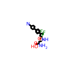 N#CC1CC=C(c2ccc(C(CCS(=N)(=O)CC[C@H](N)C(=O)O)C(F)(F)F)cc2)CC1